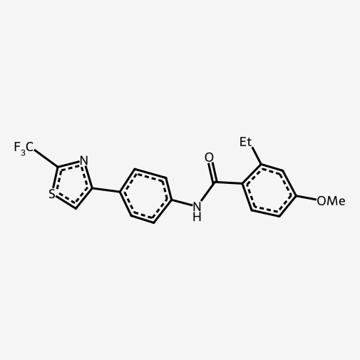 CCc1cc(OC)ccc1C(=O)Nc1ccc(-c2csc(C(F)(F)F)n2)cc1